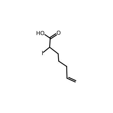 C=CCCCC(I)C(=O)O